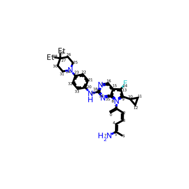 C=C(/C=C\C=C(/C)N)n1c(C2CC2)c(F)c2cnc(Nc3ccc(N4CCC(CC)(CC)CC4)cc3)nc21